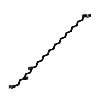 NCCNCCNCCCCCCCCCCCCCCCCCC(=O)O